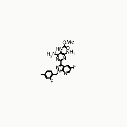 COC(=O)Nc1c(N)nc(-c2nn(Cc3ccc(C)cc3F)c3ncc(F)cc23)nc1N